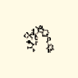 Cc1ncsc1COc1ccc2oc(C)c(C(=O)NC3(CNC(F)C(F)F)CCC3)c2c1